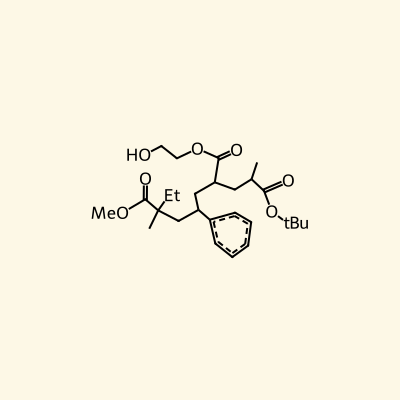 CCC(C)(CC(CC(CC(C)C(=O)OC(C)(C)C)C(=O)OCCO)c1ccccc1)C(=O)OC